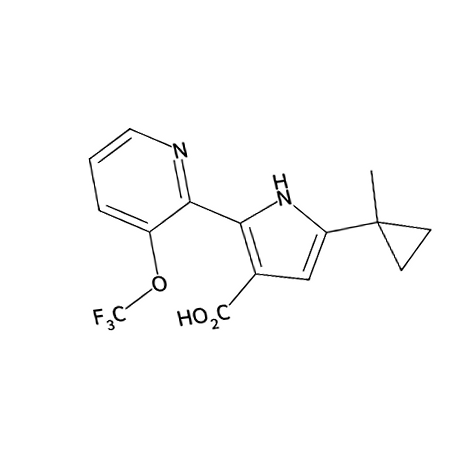 CC1(c2cc(C(=O)O)c(-c3ncccc3OC(F)(F)F)[nH]2)CC1